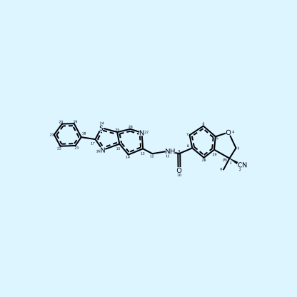 C[C@@]1(C#N)COc2ccc(C(=O)NCc3cc4nc(-c5ccccc5)sc4cn3)cc21